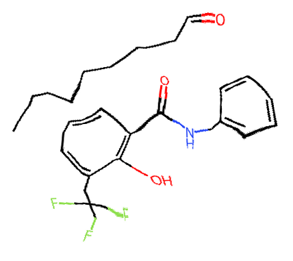 CCCCCCCC=O.O=C(Nc1ccccc1)c1cccc(C(F)(F)F)c1O